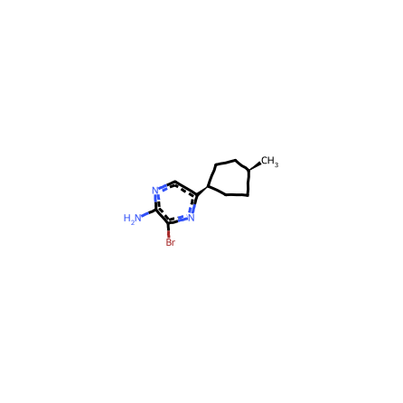 C[C@H]1CC[C@@H](c2cnc(N)c(Br)n2)CC1